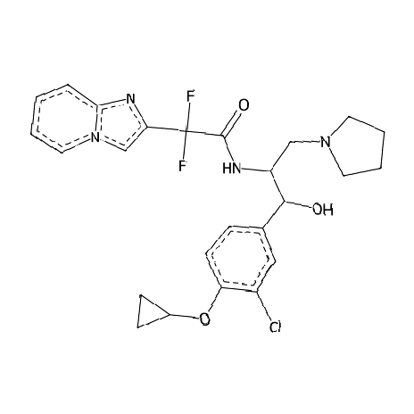 O=C(NC(CN1CCCC1)C(O)c1ccc(OC2CC2)c(Cl)c1)C(F)(F)c1cn2ccccc2n1